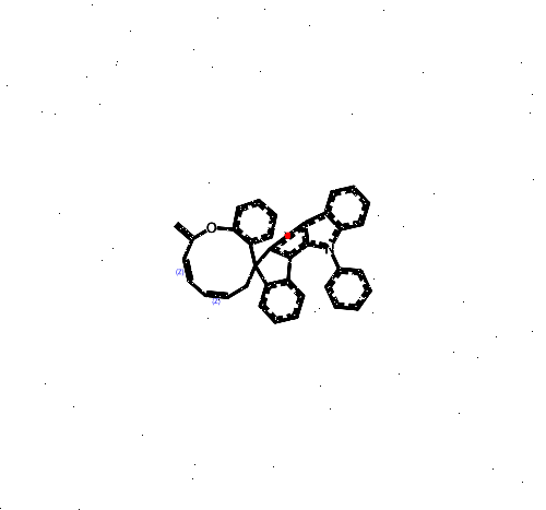 C=C1/C=C\C=C/CC2(c3ccccc3O1)c1ccccc1-c1c2ccc2c3ccccc3n(-c3ccccc3)c12